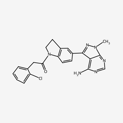 Cn1nc(-c2ccc3c(c2)CCN3C(=O)Cc2ccccc2Cl)c2c(N)ncnc21